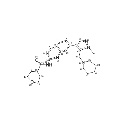 Cn1ncc(-c2ccc3cnc(NC(=O)C4CCOCC4)nc3c2)c1CN1CCCCC1